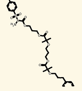 Cc1ccc(S(=O)(=O)N(N)C(=O)OCCCOC(=O)C(C)(C)OCCCOC(=O)C(C)(C)OCCCc2ccccc2)cc1